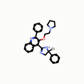 CCC1(c2ccccc2)CN=C(c2c(OCCN3CCCC3)c(-c3ccccc3)nc3ccccc23)N1